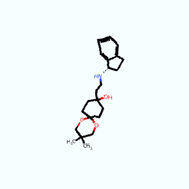 CC1(C)COC2(CCC(O)(CCN[C@H]3CCc4ccccc43)CC2)OC1